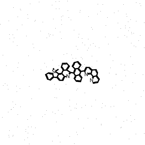 C[Si]1(C)c2ccccc2-c2ccc3nc(-c4c5ccccc5c(-c5ccc6ccc7cccnc7c6n5)c5ccccc45)c4ccccc4c3c21